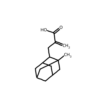 C=C(CC1C2CC3CC(C2)CC1(C)C3)C(=O)O